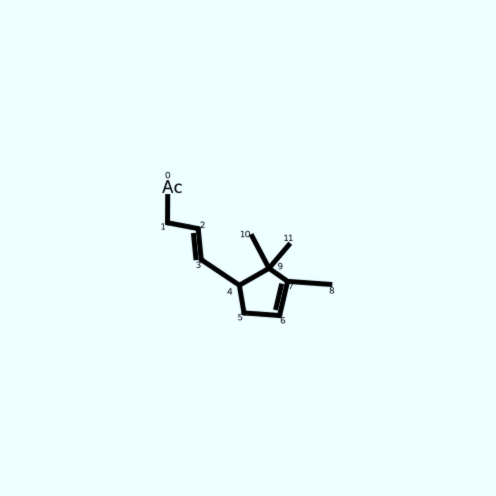 CC(=O)CC=CC1CC=C(C)C1(C)C